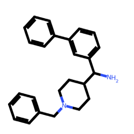 NC(c1cccc(-c2ccccc2)c1)C1CCN(Cc2ccccc2)CC1